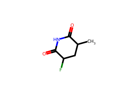 CC1CC(F)C(=O)NC1=O